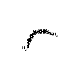 CCCCCC12CCC(c3ccc(CCC(=O)CCc4ccc(C56CCC(CCCCC)(CC5)CC6)cc4)cc3)(CC1)CC2